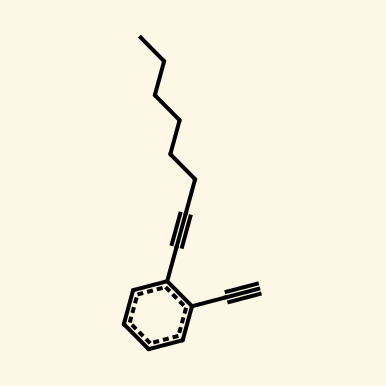 C#Cc1ccccc1C#CCCCCCC